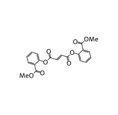 COC(=O)c1ccccc1OC(=O)/C=C/C(=O)Oc1ccccc1C(=O)OC